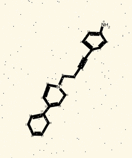 Nc1ccc(C#CCCN2C=CC(C3=CCC=CC3)=CC2)cc1